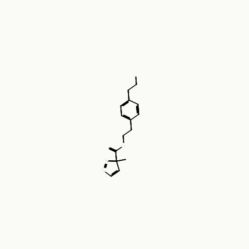 CC1(C(=O)NCCc2ccc(CCC(=O)O)cc2)C=CN=N1